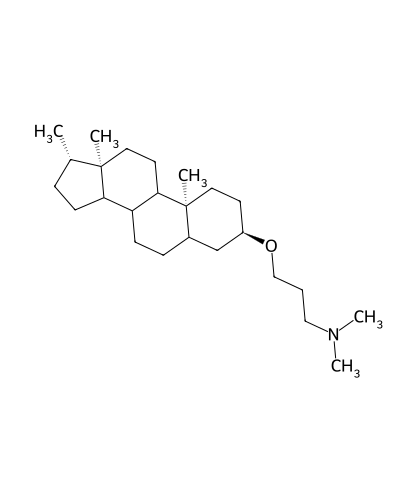 C[C@H]1CCC2C3CCC4C[C@H](OCCCN(C)C)CC[C@]4(C)C3CC[C@@]21C